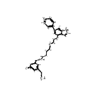 OCc1cc(F)cc(CNCCCCOCCOc2cc(-c3ccnnc3)cc3[nH]ncc23)c1